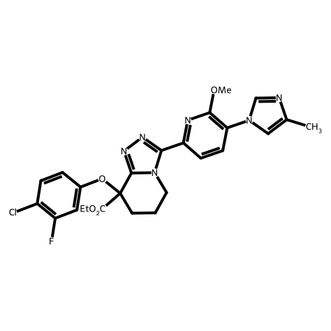 CCOC(=O)C1(Oc2ccc(Cl)c(F)c2)CCCn2c(-c3ccc(-n4cnc(C)c4)c(OC)n3)nnc21